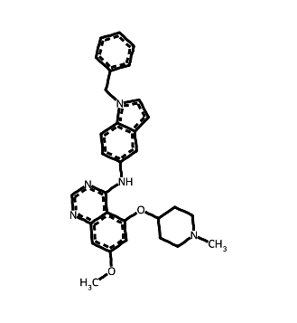 COc1cc(OC2CCN(C)CC2)c2c(Nc3ccc4c(ccn4Cc4ccccc4)c3)ncnc2c1